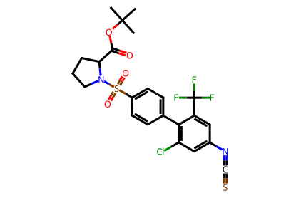 CC(C)(C)OC(=O)C1CCCN1S(=O)(=O)c1ccc(-c2c(Cl)cc(N=C=S)cc2C(F)(F)F)cc1